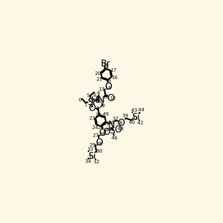 CC[Si](CC)(CC)O[C@@H](CNC(=O)COc1ccc(Br)cc1)c1ccc(OCOCC[Si](C)(C)C)c(N(COCC[Si](C)(C)C)S(C)(=O)=O)c1